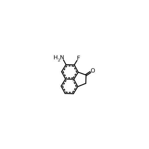 Nc1cc2cccc3c2c(c1F)C(=O)C3